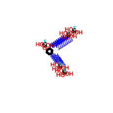 N.N.N.N.N.N.N.N.N.N.N.N.N.N.O[Si](O)(F)Oc1ccccc1.O[Si](O)(O)F.O[Si](O)(O)F.O[Si](O)(O)F.O[Si](O)(O)F